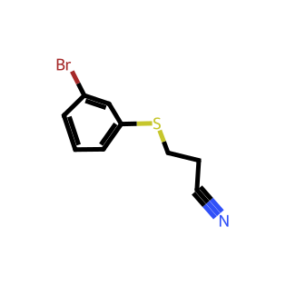 N#CCCSc1cccc(Br)c1